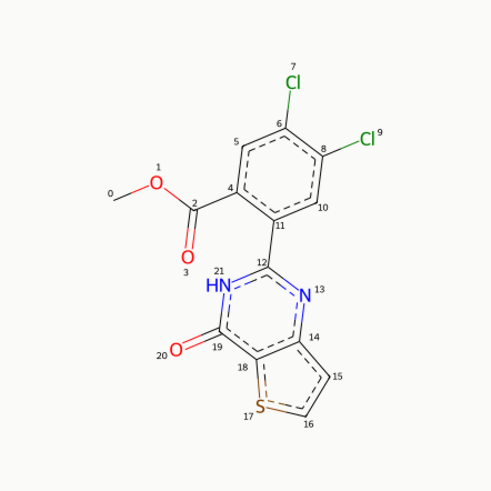 COC(=O)c1cc(Cl)c(Cl)cc1-c1nc2ccsc2c(=O)[nH]1